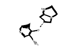 Nc1cnccc1O[C@@H]1CC2NCCN2C1